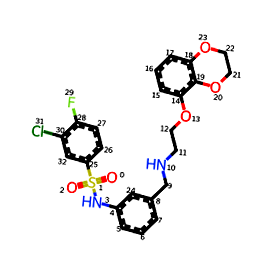 O=S(=O)(Nc1cccc(CNCCOc2cccc3c2OCCO3)c1)c1ccc(F)c(Cl)c1